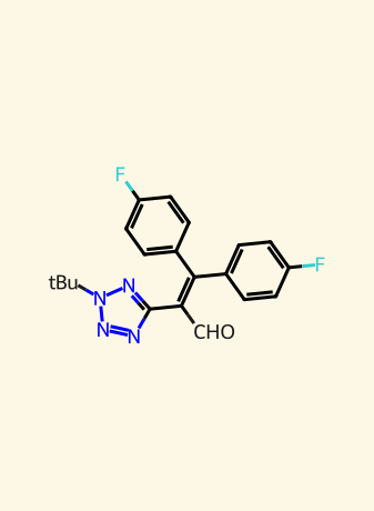 CC(C)(C)n1nnc(C(C=O)=C(c2ccc(F)cc2)c2ccc(F)cc2)n1